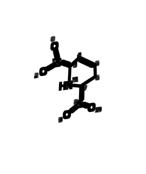 O=S(=O)=C1C=CCC(=S(=O)=O)N1